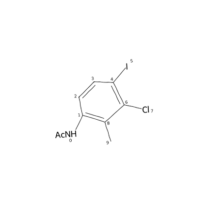 CC(=O)Nc1ccc(I)c(Cl)c1C